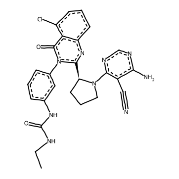 CCNC(=O)Nc1cccc(-n2c([C@@H]3CCCN3c3ncnc(N)c3C#N)nc3cccc(Cl)c3c2=O)c1